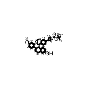 CCN(Cc1ccc(C2CN(C(=O)OC(C)(C)C)C2)cc1)c1cc(OC)ccc1C1CCc2cc(O)ccc2C1